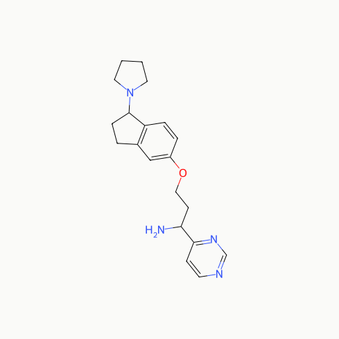 NC(CCOc1ccc2c(c1)CCC2N1CCCC1)c1ccncn1